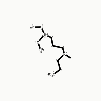 CCCO[SiH](CCCN(C)CCC(=O)O)OCCC